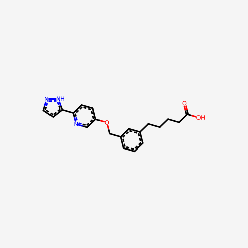 O=C(O)CCCCc1cccc(COc2ccc(-c3ccn[nH]3)nc2)c1